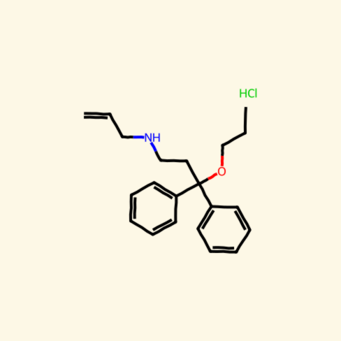 C=CCNCCC(OCCC)(c1ccccc1)c1ccccc1.Cl